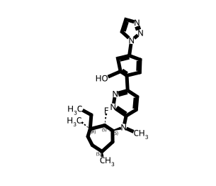 CC[C@]1(C)CC[C@H](C)C[C@H](N(C)c2ccc(-c3ccc(-n4ccnn4)cc3O)nn2)[C@H]1F